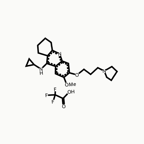 COc1cc2c(NC3CC3)c3c(nc2cc1OCCCN1CCCC1)CCCC3.O=C(O)C(F)(F)F